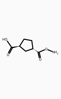 NOC(=O)[C@H]1CC[C@H](C(=O)O)C1